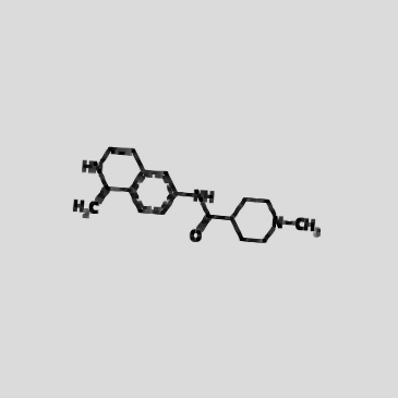 C=C1NC=Cc2cc(NC(=O)C3CCN(C)CC3)ccc21